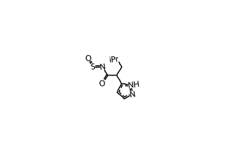 CC(C)CC(C(=O)N=S=O)c1ccn[nH]1